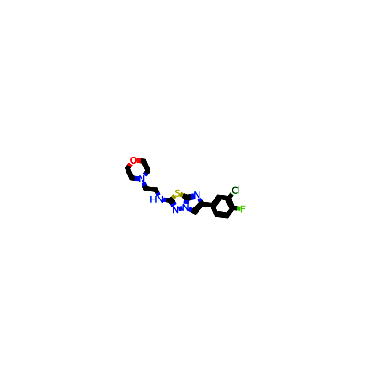 Fc1ccc(-c2cn3nc(NCCN4CCOCC4)sc3n2)cc1Cl